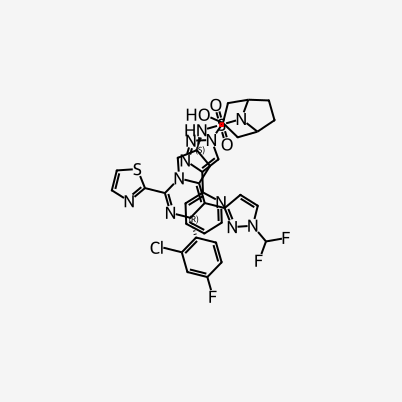 O=S(=O)(N[C@H]1CC2=C(c3ccn(C(F)F)n3)[C@H](c3ccc(F)cc3Cl)N=C(c3nccs3)N2C1)N1C2CCC1CC(O)(n1cc(-c3ccccn3)nn1)C2